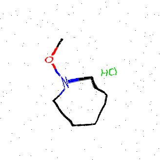 CON1CCCCC1.Cl